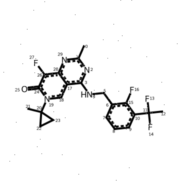 Cc1nc(NCc2cccc(C(C)(F)F)c2F)c2cn(C3(C)CC3)c(=O)c(F)c2n1